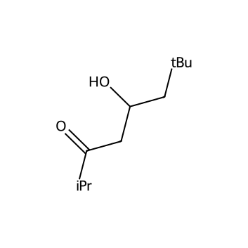 CC(C)C(=O)CC(O)CC(C)(C)C